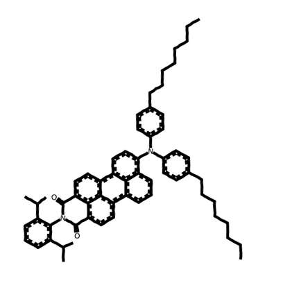 CCCCCCCCc1ccc(N(c2ccc(CCCCCCCC)cc2)c2ccc3c4ccc5c6c(ccc(c7cccc2c73)c64)C(=O)N(c2c(C(C)C)cccc2C(C)C)C5=O)cc1